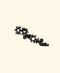 CC(C)(C)OC(=O)NC[C@H]1CC[C@H](CNC(=O)c2ccnc(-c3ccccc3)c2)CC1